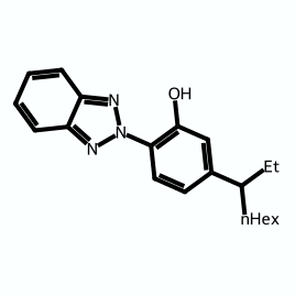 CCCCCCC(CC)c1ccc(-n2nc3ccccc3n2)c(O)c1